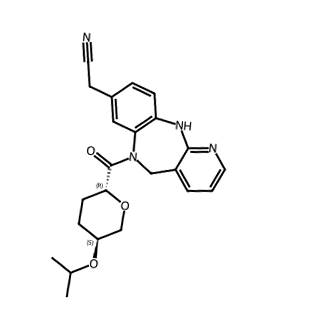 CC(C)O[C@H]1CC[C@H](C(=O)N2Cc3cccnc3Nc3ccc(CC#N)cc32)OC1